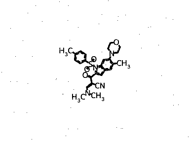 Cc1ccc(S(=O)(=O)n2c(C(=O)C(C#N)=CN(C)C)cc3cc(C)c(N4CCOCC4)cc32)cc1